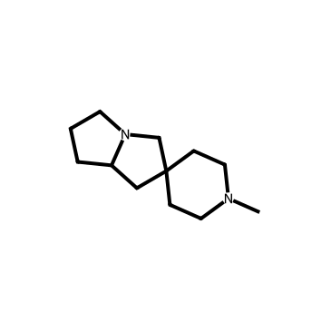 CN1CCC2(CC1)CC1CCCN1C2